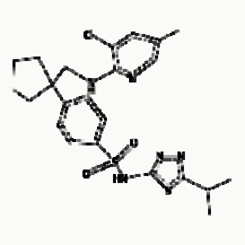 Cc1cnc(NCC2(c3ccc(S(=O)(=O)Nc4nnc(C(C)C)s4)cc3)CCCC2)c(Cl)c1